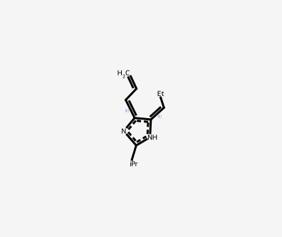 C=C/C=c1/nc(C(C)C)[nH]/c1=C/CC